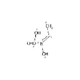 CC=NO.O=CO